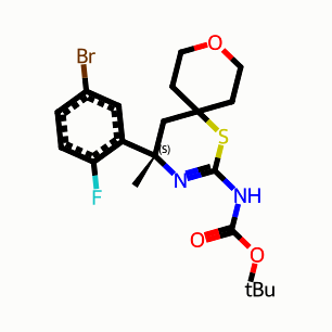 CC(C)(C)OC(=O)NC1=N[C@](C)(c2cc(Br)ccc2F)CC2(CCOCC2)S1